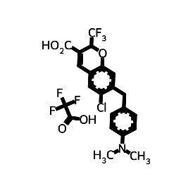 CN(C)c1ccc(Cc2cc3c(cc2Cl)C=C(C(=O)O)C(C(F)(F)F)O3)cc1.O=C(O)C(F)(F)F